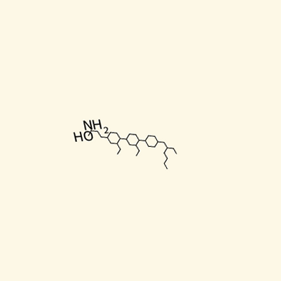 CCCCC(CC)CC1CCC(C2CCC(C3CCC(CCC(N)O)CC3CC)CC2CC)CC1